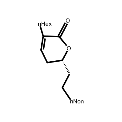 CCCCCCCCCCC[C@@H]1CC=C(CCCCCC)C(=O)O1